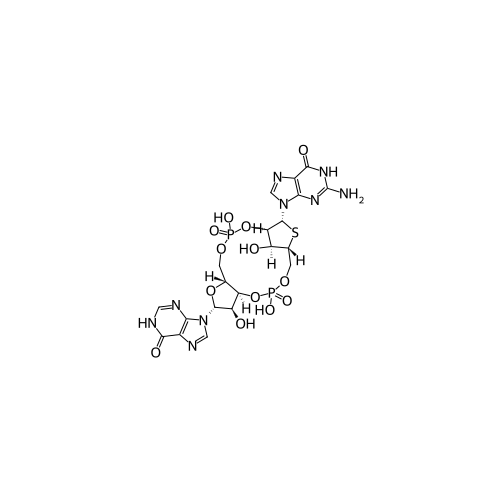 Nc1nc2c(ncn2[C@@H]2S[C@@H]3COP(=O)(O)O[C@H]4[C@@H](O)[C@H](n5cnc6c(=O)[nH]cnc65)O[C@@H]4COP(=O)(O)O[C@@H]2[C@@H]3O)c(=O)[nH]1